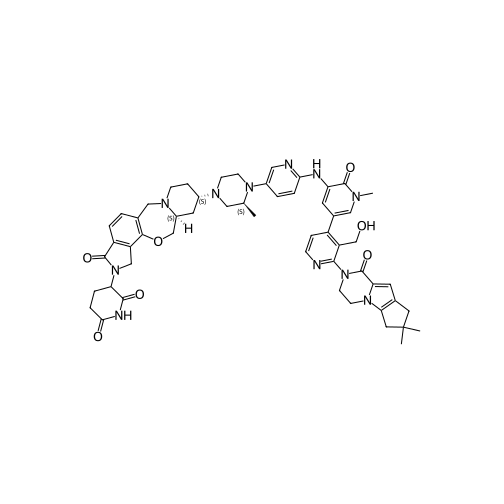 C[C@H]1CN([C@H]2CCN3Cc4ccc5c(c4OC[C@@H]3C2)CN(C2CCC(=O)NC2=O)C5=O)CCN1c1ccc(Nc2cc(-c3ccnc(N4CCn5c(cc6c5CC(C)(C)C6)C4=O)c3CO)cn(C)c2=O)nc1